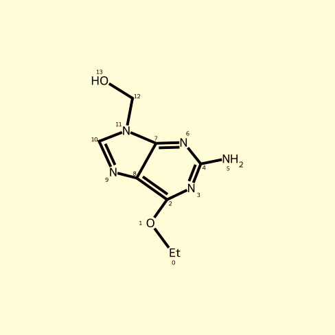 CCOc1nc(N)nc2c1ncn2CO